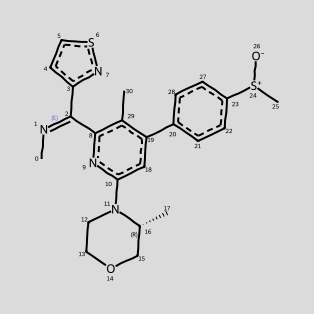 C/N=C(/c1ccsn1)c1nc(N2CCOC[C@H]2C)cc(-c2ccc([S+](C)[O-])cc2)c1C